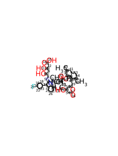 CC(C)n1c(/C=C/[C@@H](O)C[C@@H](O)CC(=O)O)c(-c2ccc(F)cc2)c2ccccc21.CC[C@H](C)C(=O)O[C@H]1C[C@@H](C)C=C2C=C[C@H](C)[C@H](CC[C@@H]3C[C@@H](O)CC(=O)O3)[C@H]21